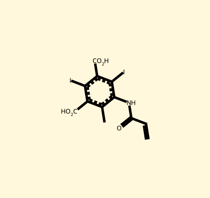 C=CC(=O)Nc1c(C)c(C(=O)O)c(I)c(C(=O)O)c1I